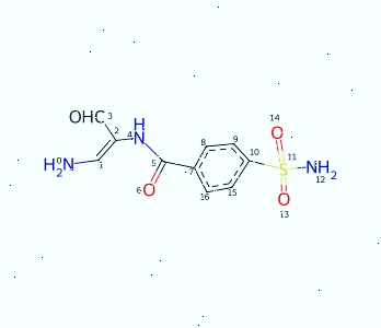 NC=C(C=O)NC(=O)c1ccc(S(N)(=O)=O)cc1